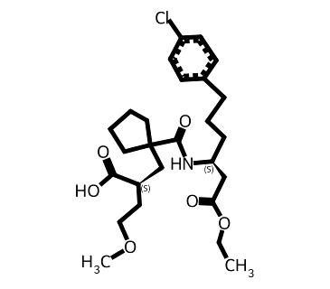 CCOC(=O)C[C@H](CCCc1ccc(Cl)cc1)NC(=O)C1(C[C@@H](CCOC)C(=O)O)CCCC1